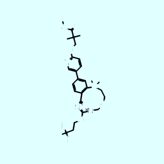 COC(=O)C(C)(C)COc1ccc(-c2ccc3c(c2)S(C)(C)CCOCn2nc-3nc2OCCC(F)(F)F)cn1